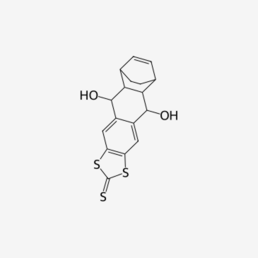 OC1c2cc3sc(=S)sc3cc2C(O)C2C3C=CC(CC3)C12